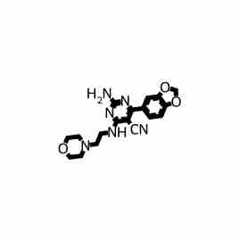 N#Cc1c(NCCN2CCOCC2)nc(N)nc1-c1ccc2c(c1)OCO2